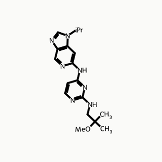 COC(C)(C)CNc1nccc(Nc2cc3c(cn2)ncn3C(C)C)n1